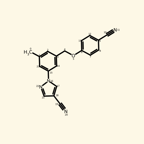 Cc1cc(COc2ccc(C#N)cc2)cc(-n2cc(C#N)cn2)c1